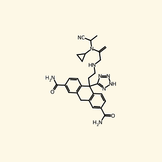 C=C(CNCCC1(c2nn[nH]n2)c2ccc(C(N)=O)cc2Cc2cc(C(N)=O)ccc21)N(C(C)C#N)C1CC1